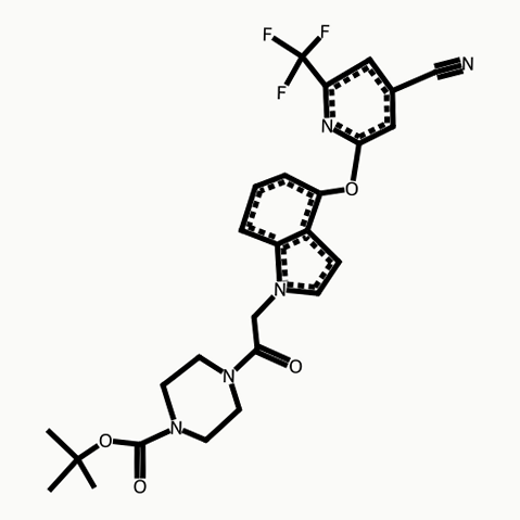 CC(C)(C)OC(=O)N1CCN(C(=O)Cn2ccc3c(Oc4cc(C#N)cc(C(F)(F)F)n4)cccc32)CC1